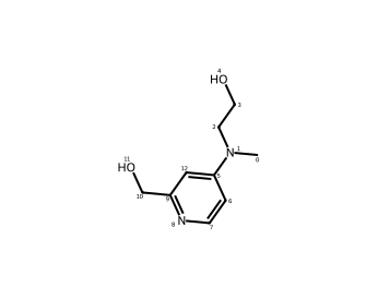 CN(CCO)c1ccnc(CO)c1